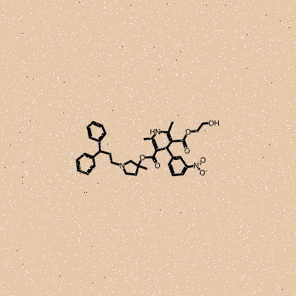 CC1=C(C(=O)OCCO)C(c2cccc([N+](=O)[O-])c2)C(C(=O)OC2(C)CCN(CCC(c3ccccc3)c3ccccc3)C2)=C(C)N1